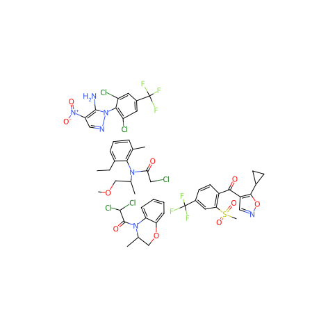 CC1COc2ccccc2N1C(=O)C(Cl)Cl.CCc1cccc(C)c1N(C(=O)CCl)C(C)COC.CS(=O)(=O)c1cc(C(F)(F)F)ccc1C(=O)c1cnoc1C1CC1.Nc1c([N+](=O)[O-])cnn1-c1c(Cl)cc(C(F)(F)F)cc1Cl